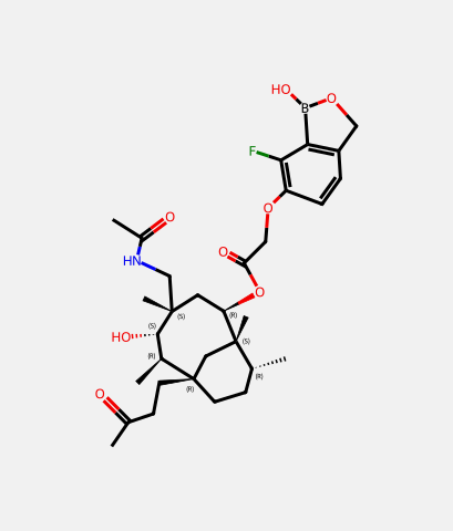 CC(=O)CC[C@]12CC[C@@H](C)[C@](C)(C1)[C@H](OC(=O)COc1ccc3c(c1F)B(O)OC3)C[C@@](C)(CNC(C)=O)[C@@H](O)[C@@H]2C